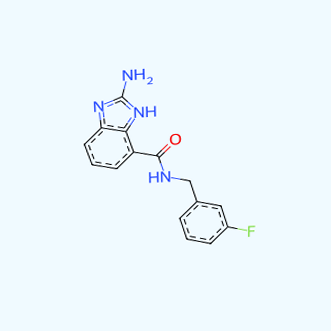 Nc1nc2cccc(C(=O)NCc3cccc(F)c3)c2[nH]1